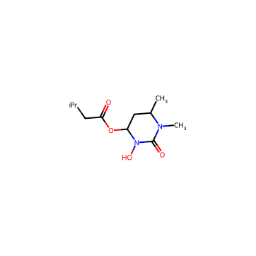 CC(C)CC(=O)OC1CC(C)N(C)C(=O)N1O